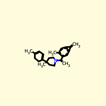 C=C1c2cc(C)c(C(=C)N3CCC(C)(C4=CC=C(C)CC4)CC3)cc21